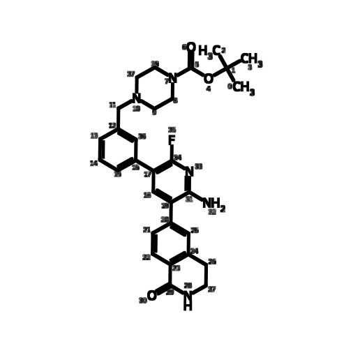 CC(C)(C)OC(=O)N1CCN(Cc2cccc(-c3cc(-c4ccc5c(c4)CCNC5=O)c(N)nc3F)c2)CC1